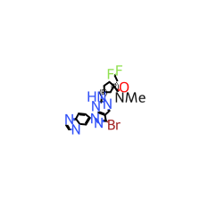 CNC(=O)[C@]1(CC(F)F)CC[C@@H](Nc2ncc3c(Br)nn(-c4ccc5nccnc5c4)c3n2)C1